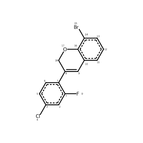 Fc1cc(Cl)ccc1C1=Cc2cccc(Br)c2OC1